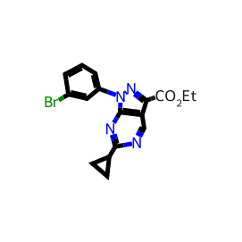 CCOC(=O)c1nn(-c2cccc(Br)c2)c2nc(C3CC3)ncc12